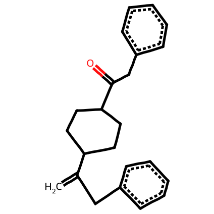 C=C(Cc1ccccc1)C1CCC(C(=O)Cc2ccccc2)CC1